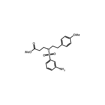 COC(=O)CCN(CCc1ccc(OC)cc1)S(=O)(=O)c1cccc(N)c1